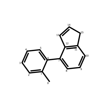 Cc1ccccc1-c1cccc2c1C=CC2